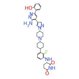 Nc1nnc(-c2ccccc2O)cc1-c1cnn(C2CCN(C3CCC(c4cccc(N[C@H]5CCC(=O)NC5=O)c4F)CC3)CC2)c1